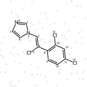 ClC(=Cn1ccnc1)c1ccc(Cl)cc1Cl